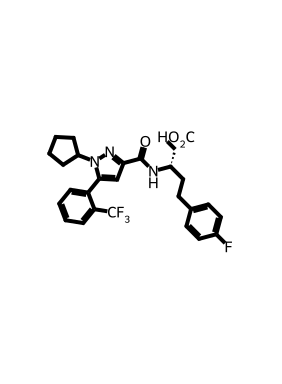 O=C(O)C[C@H](CCc1ccc(F)cc1)NC(=O)c1cc(-c2ccccc2C(F)(F)F)n(C2CCCC2)n1